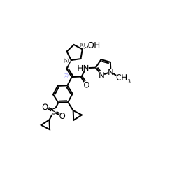 Cn1ccc(NC(=O)/C(=C\[C@H]2CC[C@H](O)C2)c2ccc(S(=O)(=O)C3CC3)c(C3CC3)c2)n1